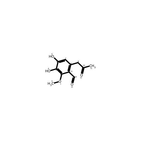 COc1c(O)c(O)cc(CC(C)=O)c1C=O